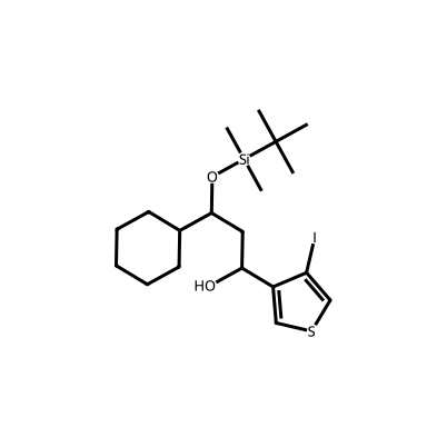 CC(C)(C)[Si](C)(C)OC(CC(O)c1cscc1I)C1CCCCC1